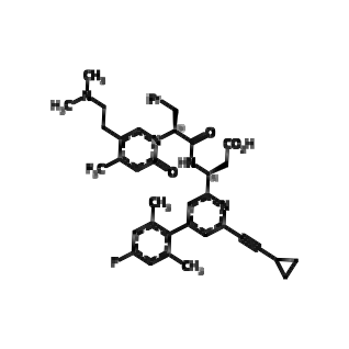 Cc1cc(F)cc(C)c1-c1cc(C#CC2CC2)nc([C@H](CC(=O)O)NC(=O)[C@H](CC(C)C)n2cc(CCN(C)C)c(C(F)(F)F)cc2=O)c1